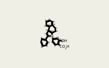 O=C(O)c1ccc(-n2c(-c3ccccc3)cc3c2CCc2ccccc2-3)cc1O